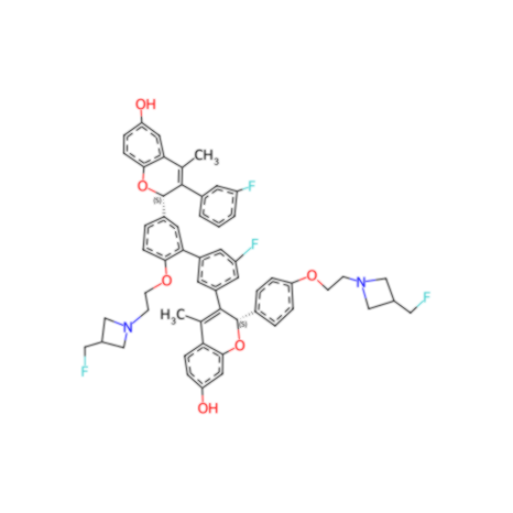 CC1=C(c2cc(F)cc(-c3cc([C@@H]4Oc5ccc(O)cc5C(C)=C4c4cccc(F)c4)ccc3OCCN3CC(CF)C3)c2)[C@H](c2ccc(OCCN3CC(CF)C3)cc2)Oc2cc(O)ccc21